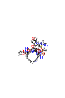 COc1ccc2c(O[C@@H]3C[C@H]4C(=O)N[C@]5(C(=O)NS(=O)(=O)C6CC6)CC5/C=C\CCCCC[C@H](NC(=O)OC5CCCC5)C(=O)N4C3)cc(-c3csc(NC(C)C)n3)nc2c1C